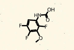 COc1c(F)c(F)cc(NC(=O)O)c1F